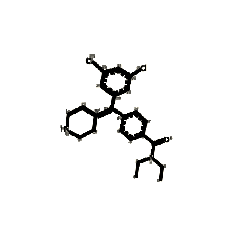 CCN(CC)C(=O)c1ccc(C(=C2CCNCC2)c2cc(Cl)cc(Cl)c2)cc1